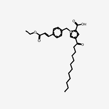 CCCCCCCCCCCC(=O)c1cc(C(=O)O)n(Cc2ccc(C=CC(=O)OCC)cc2)c1